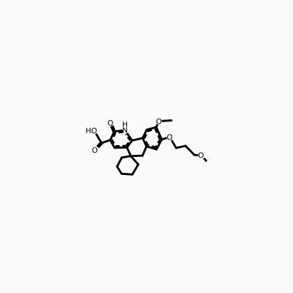 COCCCOc1cc2c(cc1OC)-c1[nH]c(=O)c(C(=O)O)cc1C1(CCCCC1)C2